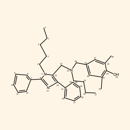 CCCCCn1c(-c2ccccc2)nc(-c2ccccc2)c1CN(CCCC)Cc1cc(C)c(O)c(C)c1